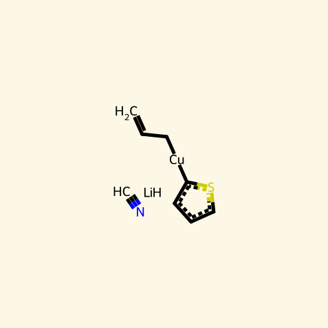 C#N.C=C[CH2][Cu][c]1cccs1.[LiH]